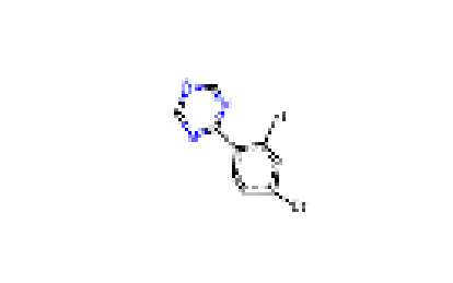 CCc1ccc(-c2ncncn2)c(CC)c1